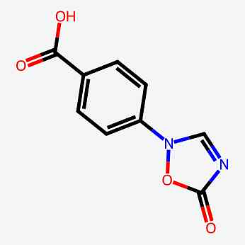 O=C(O)c1ccc(-n2cnc(=O)o2)cc1